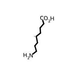 NCCC[CH]CCCC(=O)O